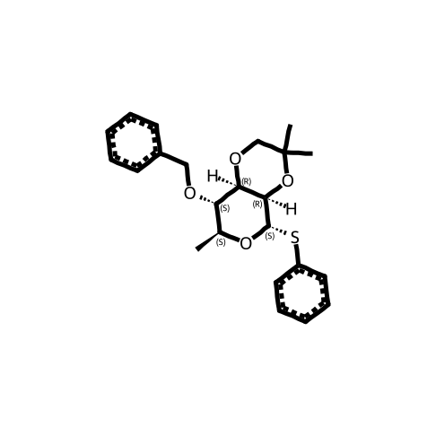 C[C@@H]1O[C@@H](Sc2ccccc2)[C@@H]2OC(C)(C)CO[C@@H]2[C@H]1OCc1ccccc1